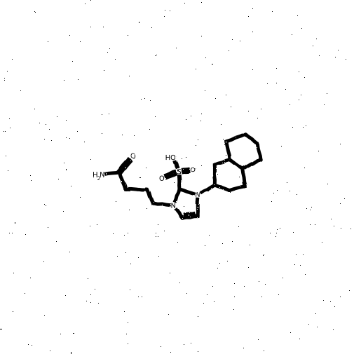 NC(=O)CCCN1C=CN(C2CCC3CCCCC3C2)C1S(=O)(=O)O